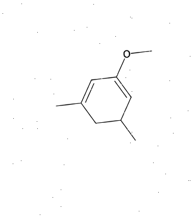 COC1=CC(C)CC(C)=C1